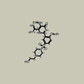 CCCOc1ccc(S(=O)(=O)N2CCN(CCO)CC2)cc1-c1nc(=O)c(NCC)c(C(=N)CCC)[nH]1